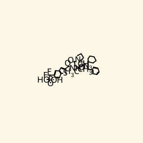 CC(C)(C)C(NC(=O)c1cc2cc(C(F)(F)P(=O)(O)O)ccc2s1)C(=O)N1CCC[C@H]1C(=O)N(Cc1ccccc1)C1CCCCC1